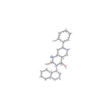 Cc1ccccc1-c1cc2[nH]c(=O)n(-c3cncc4ccccc34)c(=O)c2cn1